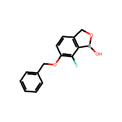 OB1OCc2ccc(OCc3ccccc3)c(F)c21